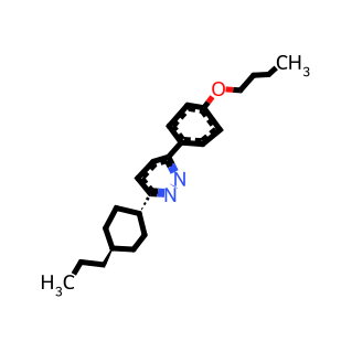 CCCCOc1ccc(-c2ccc([C@H]3CC[C@H](CCC)CC3)nn2)cc1